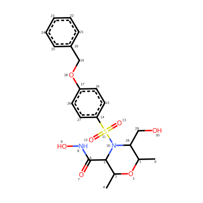 CC1OC(C)C(C(=O)NO)N(S(=O)(=O)c2ccc(OCc3ccccc3)cc2)C1CO